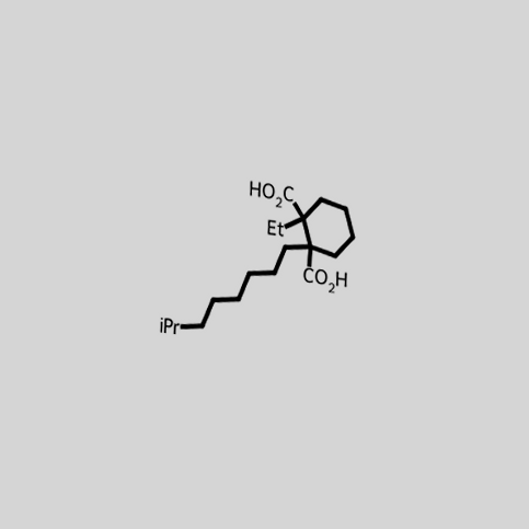 CCC1(C(=O)O)CCCCC1(CCCCCCC(C)C)C(=O)O